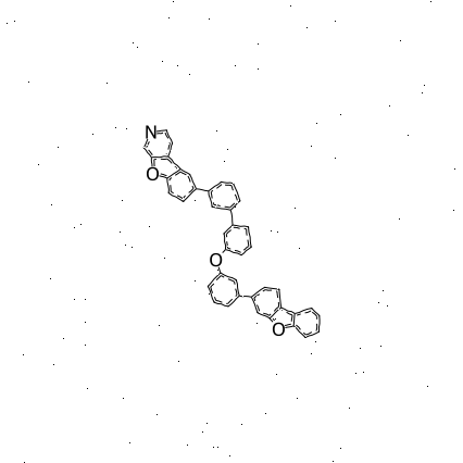 c1cc(Oc2cccc(-c3ccc4c(c3)oc3ccccc34)c2)cc(-c2cccc(-c3ccc4oc5cnccc5c4c3)c2)c1